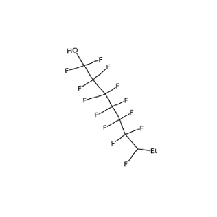 CCC(F)C(F)(F)C(F)(F)C(F)(F)C(F)(F)C(F)(F)C(O)(F)F